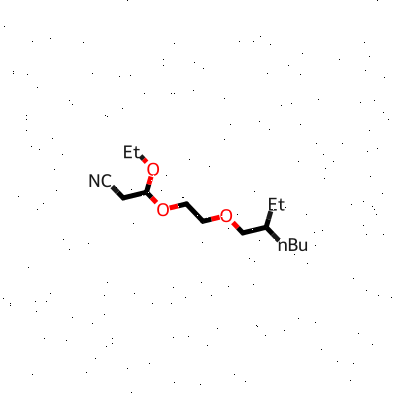 CCCCC(CC)COCCOC(CC#N)OCC